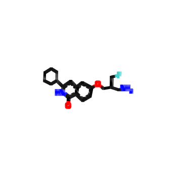 NCC(=CF)COc1ccc2c(=O)[nH]c(C3CCCCC3)cc2c1